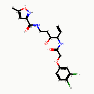 C=CC(NC(=O)COc1ccc(Cl)c(F)c1)C(O)CCNC(=O)c1cc(C)on1